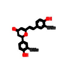 COc1cc(C=CC2=CC(=O)CC(c3ccc(O)c(OC)c3)O2)ccc1O